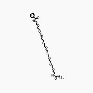 CC(C)(C)OC(=O)NCCOCCOCCOCCOCCOCCOCCOCCOCCOCCNC(=O)c1ccccc1